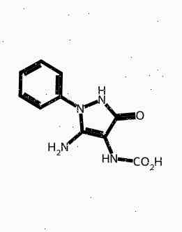 Nc1c(NC(=O)O)c(=O)[nH]n1-c1ccccc1